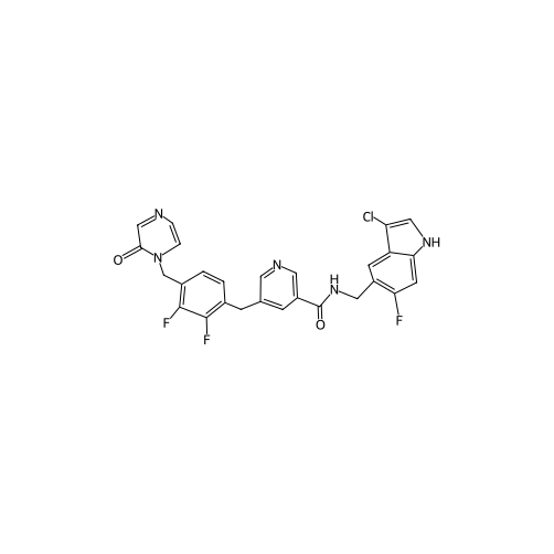 O=C(NCc1cc2c(Cl)c[nH]c2cc1F)c1cncc(Cc2ccc(Cn3ccncc3=O)c(F)c2F)c1